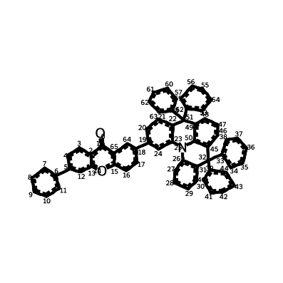 O=c1c2ccc(-c3ccccc3)cc2oc2ccc(-c3ccc4c(c3)N3c5ccccc5C(c5ccccc5)(c5ccccc5)c5cccc(c53)C4(c3ccccc3)c3ccccc3)cc12